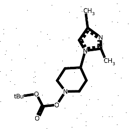 Cc1cn(C2CCN(OC(=O)OC(C)(C)C)CC2)c(C)n1